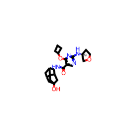 O=C(NC1C2CC3CC1CC(O)(C3)C2)c1cnc(N[C@H]2CCOC2)nc1OC1CCC1